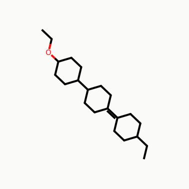 CCOC1CCC(C2CCC(=C3CCC(CC)CC3)CC2)CC1